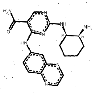 NC(=O)c1cnc(N[C@@H]2CCCC[C@@H]2N)nc1Nc1ccc2nccnc2c1